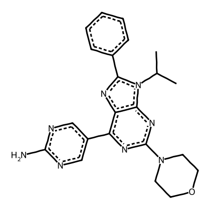 CC(C)n1c(-c2ccccc2)nc2c(-c3cnc(N)nc3)nc(N3CCOCC3)nc21